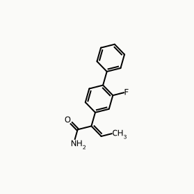 C/C=C(/C(N)=O)c1ccc(-c2ccccc2)c(F)c1